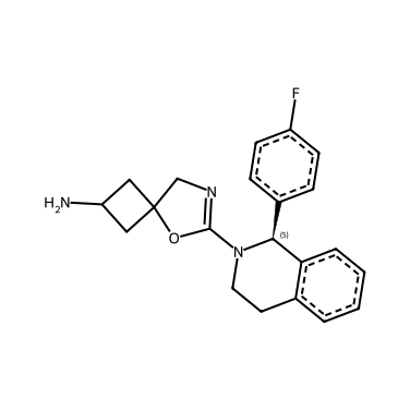 NC1CC2(CN=C(N3CCc4ccccc4[C@@H]3c3ccc(F)cc3)O2)C1